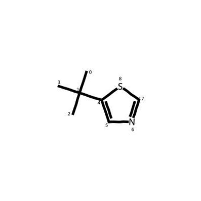 CC(C)(C)c1cn[c]s1